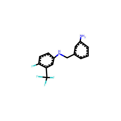 Nc1[c]ccc(CNc2ccc(F)c(C(F)(F)F)c2)c1